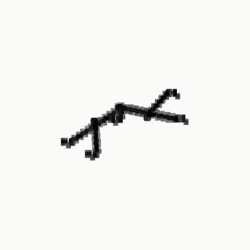 CCCCCCCCCCN(CCCCCCCCCC)C(=O)CCCCCCCCCN1CCC1(CCCN)CCCCCCCCCC(=O)N(CCCCCCCCCC)CCCCCCCCCC